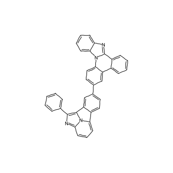 c1ccc(-c2nc3cccc4c5ccc(-c6ccc7c(c6)c6ccccc6c6nc8ccccc8n76)cc5c2n34)cc1